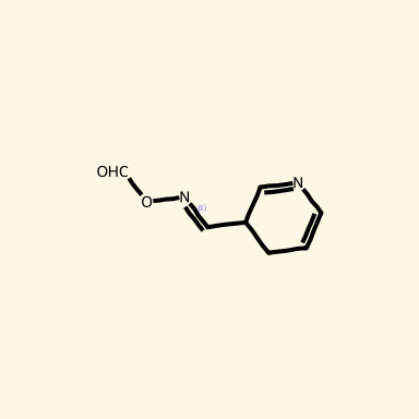 O=CO/N=C/C1C=NC=CC1